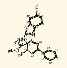 COC(=O)C1(Nc2nc3ccc(F)cc3s2)C=CC(c2ccccc2)=CC1F